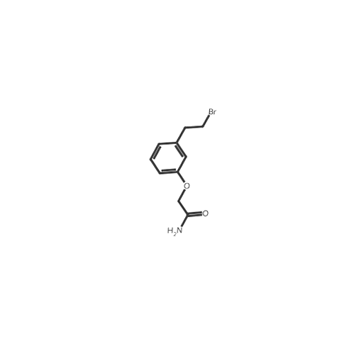 NC(=O)COc1cccc(CCBr)c1